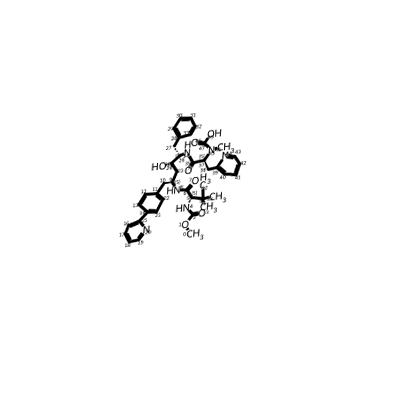 COC(=O)N[C@H](C(=O)N[C@@H](Cc1ccc(-c2ccccn2)cc1)C[C@H](O)[C@H](Cc1ccccc1)NC(=O)[C@H](Cc1ccccn1)N(C)C(=O)O)C(C)(C)C